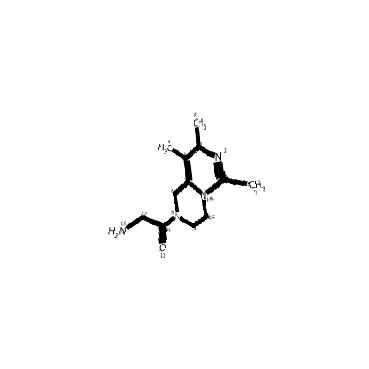 CC1=NC(C)C(C)=C2CN(C(=O)CN)CCN12